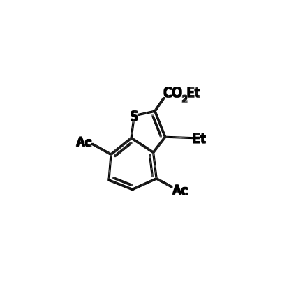 CCOC(=O)c1sc2c(C(C)=O)ccc(C(C)=O)c2c1CC